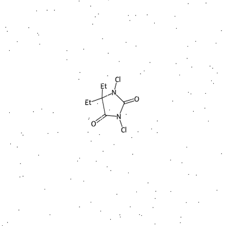 CCC1(CC)C(=O)N(Cl)C(=O)N1Cl